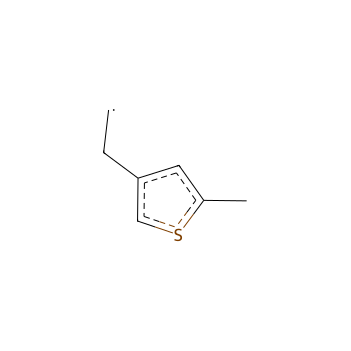 [CH2]Cc1csc(C)c1